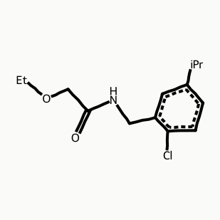 CCOCC(=O)NCc1cc(C(C)C)ccc1Cl